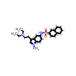 CCN(CC)CCc1cn(C)c2ccc(NS(=O)(=O)c3ccc4ccccc4c3)cc12